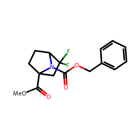 COC(=O)C12CCC(N1C(=O)OCc1ccccc1)C(F)(F)C2